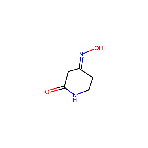 O=C1CC(=NO)CCN1